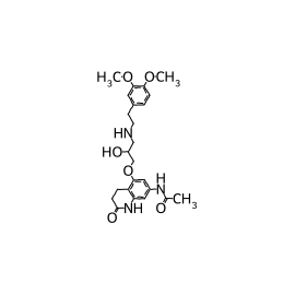 COc1ccc(CCNCC(O)COc2cc(NC(C)=O)cc3c2CCC(=O)N3)cc1OC